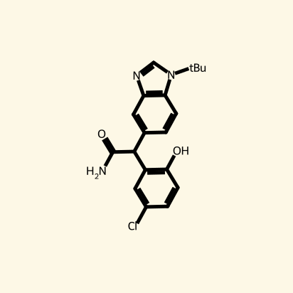 CC(C)(C)n1cnc2cc(C(C(N)=O)c3cc(Cl)ccc3O)ccc21